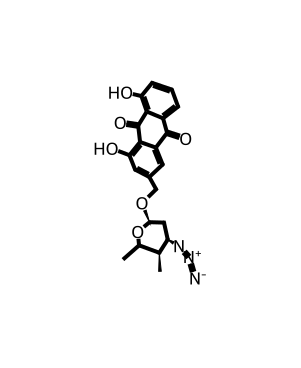 CC1O[C@@H](OCc2cc(O)c3c(c2)C(=O)c2cccc(O)c2C3=O)C[C@@H](N=[N+]=[N-])[C@H]1C